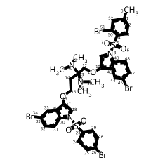 Cc1ccc(S(=O)(=O)n2cc(OCC(CCOc3cn(S(=O)(=O)c4ccc(Br)cc4)c4ccc(Br)cc34)(N(C)C)N(C)C)c3cc(Br)ccc32)c(Br)c1